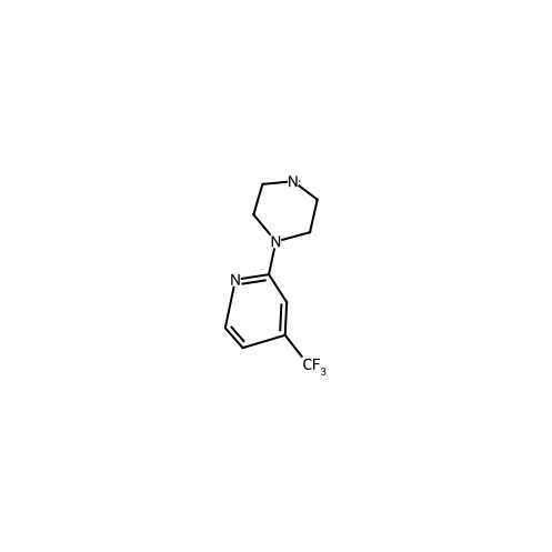 FC(F)(F)c1ccnc(N2CC[N]CC2)c1